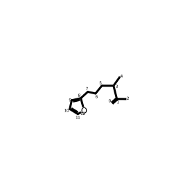 C=C(C)C(C)CCCc1ccco1